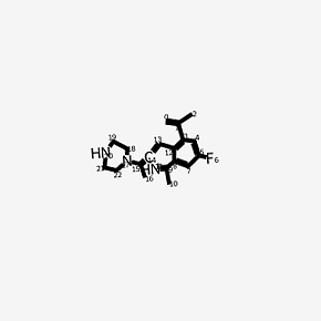 C=C(C)c1cc(F)cc(C(C)=N)c1C=C=C(C)N1CCNCC1